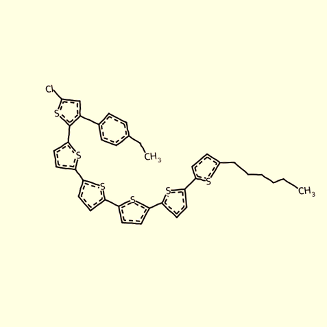 CCCCCCc1ccc(-c2ccc(-c3ccc(-c4ccc(-c5ccc(-c6sc(Cl)cc6-c6ccc(CC)cc6)s5)s4)s3)s2)s1